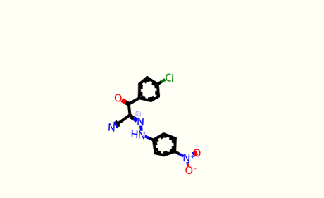 N#C/C(=N\Nc1ccc([N+](=O)[O-])cc1)C(=O)c1ccc(Cl)cc1